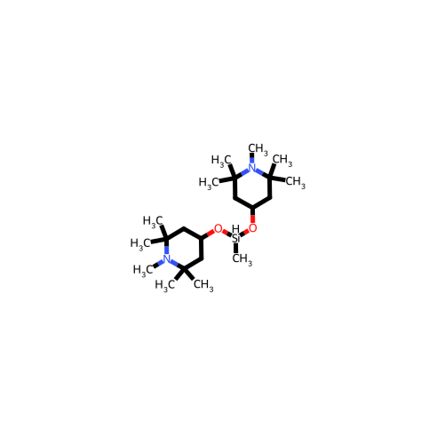 CN1C(C)(C)CC(O[SiH](C)OC2CC(C)(C)N(C)C(C)(C)C2)CC1(C)C